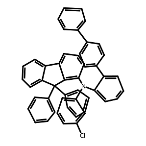 Clc1cccc(N(c2ccccc2-c2ccc(-c3ccccc3)cc2)c2cccc3c2C(c2ccccc2)(c2ccccc2)c2ccccc2-3)c1